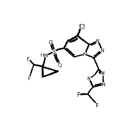 O=S(=O)(NC1(C(F)F)CC1)c1cc(Cl)c2nnc(-c3nnc(C(F)F)s3)n2c1